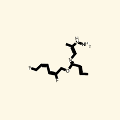 C/C=C/C(=N\C=C(/C)NN)OC/C(F)=C\C=C/CF